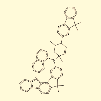 CC1CC(C)(N(c2ccc3c(c2)-c2c(ccc4c2sc2ccccc24)C3(C)C)c2cccc3ccccc23)C=CC1c1ccc2c(c1)C(C)(C)c1ccccc1-2